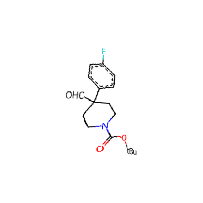 CC(C)(C)OC(=O)N1CCC(C=O)(c2ccc(F)cc2)CC1